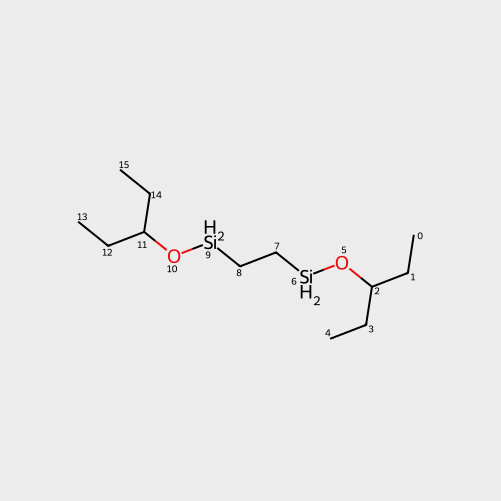 CCC(CC)O[SiH2]CC[SiH2]OC(CC)CC